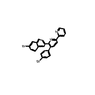 Brc1ccc(-c2ccc(-c3ccccn3)nc2-c2ccc3cc(Br)ccc3c2)cc1